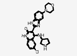 O=c1[nH]c2ccc(Cl)cc2c(NC2CCNC2)c1-c1nc2cc(N3CCOCC3)ccc2[nH]1